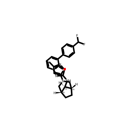 Cc1cc(N2C[C@H]3CC[C@@H](C2)[C@@H]3Nc2nc3c(-c4ccc(C(F)F)cc4)cccn3n2)sn1